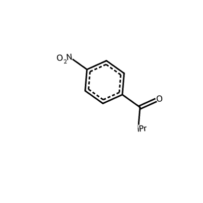 CC(C)C(=O)c1ccc([N+](=O)[O-])cc1